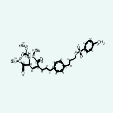 Cc1ccc(S(=O)(=O)OCCCc2ccc(CCCC(C[C@H](NC(=O)OC(C)(C)C)C(=O)OC(C)(C)C)C(=O)OC(C)(C)C)cc2)cc1